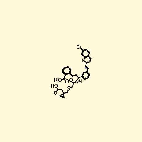 O=C(O)CC1(CSCC(=O)NC(CCc2ccccc2C(=O)O)c2cccc(/C=C/c3ccc4ccc(Cl)cc4n3)c2)CC1